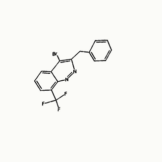 FC(F)(F)c1cccc2c(Br)c(Cc3ccccc3)nnc12